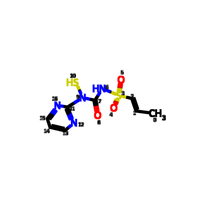 CC=CS(=O)(=O)NC(=O)N(S)c1ncccn1